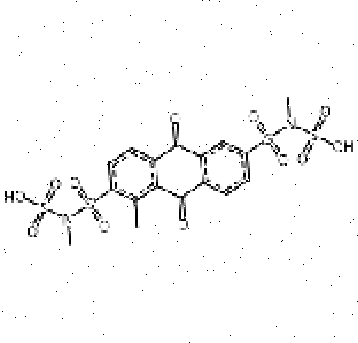 Cc1c(S(=O)(=O)N(C)S(=O)(=O)O)ccc2c1C(=O)c1ccc(S(=O)(=O)N(C)S(=O)(=O)O)cc1C2=O